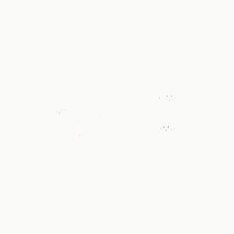 CCCC(=O)/C=C/c1ccc(OC)c(OC)c1